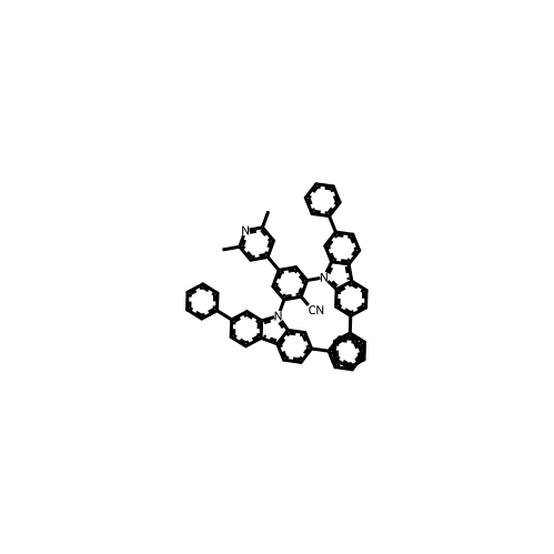 Cc1cc(-c2cc(-n3c4cc(-c5ccccc5)ccc4c4ccc(-c5ccccc5)cc43)c(C#N)c(-n3c4cc(-c5ccccc5)ccc4c4ccc(-c5ccccc5)cc43)c2)cc(C)n1